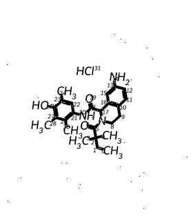 CCC(C)(C)C(=O)N1CCc2ccc(N)cc2C1C(=O)Nc1cc(C)c(O)c(C)c1C.Cl